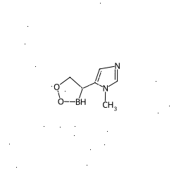 Cn1cncc1C1BOOC1